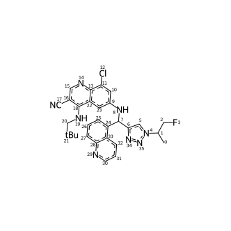 CC(CF)n1cc(C(Nc2cc(Cl)c3ncc(C#N)c(NCC(C)(C)C)c3c2)c2cccc3ncccc23)nn1